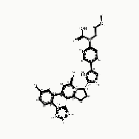 COCCN(C(=O)O)c1ccc(-c2cnc([C@@H]3CCc4cc(-c5cc(C)ccc5-n5cnnn5)cc(=O)n43)[nH]2)cn1